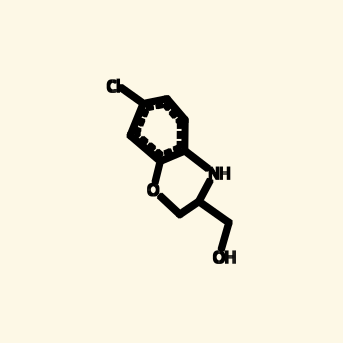 OCC1COc2cc(Cl)ccc2N1